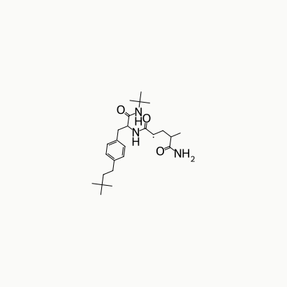 CC(C[CH]C(=O)NC(Cc1ccc(CCC(C)(C)C)cc1)C(=O)NC(C)(C)C)C(N)=O